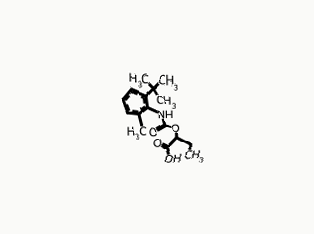 CCC(OC(=O)Nc1c(C)cccc1C(C)(C)C)C(=O)O